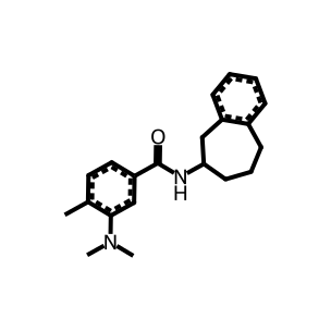 Cc1ccc(C(=O)NC2CCCc3ccccc3C2)cc1N(C)C